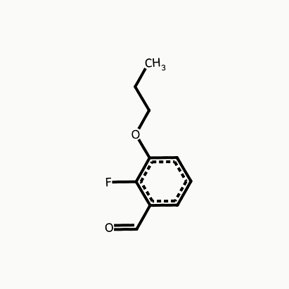 CCCOc1cccc(C=O)c1F